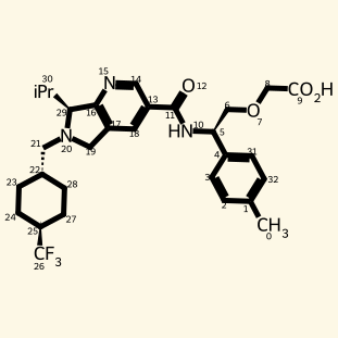 Cc1ccc([C@H](COCC(=O)O)NC(=O)c2cnc3c(c2)CN(C[C@H]2CC[C@H](C(F)(F)F)CC2)[C@H]3C(C)C)cc1